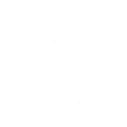 CC(C)(C)OC(=O)NCCCCc1ccc(NS(C)(=O)=O)cc1